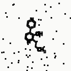 CCCc1nccc(-c2ccncc2)c1O